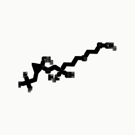 COCCOCCC[Si](C)(O)CO[Si]1(C)CC1CC(F)(F)F